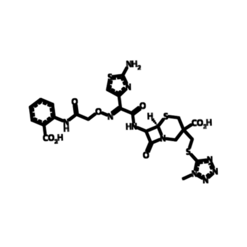 Cn1nnnc1SCC1(C(=O)O)CS[C@@H]2C(NC(=O)C(=NOCC(=O)Nc3ccccc3C(=O)O)c3csc(N)n3)C(=O)N2C1